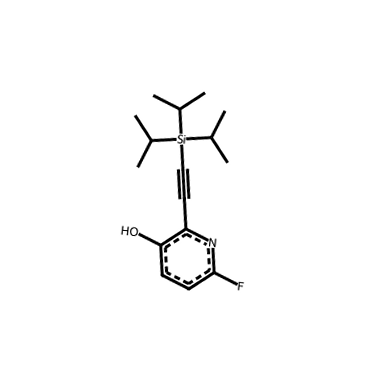 CC(C)[Si](C#Cc1nc(F)ccc1O)(C(C)C)C(C)C